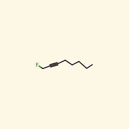 CCCCCC#CCF